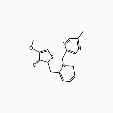 COC1=CSC(CC2=CC=CCN2Cc2cnc(C)cn2)C1=O